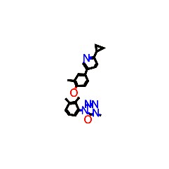 Cc1cc(-c2ccc(C3CC3)nc2)ccc1OCc1c(C)cccc1-n1nnn(C)c1=O